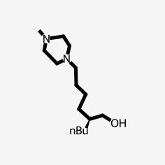 CCCC[C@H](CO)CCCCN1CCN(C)CC1